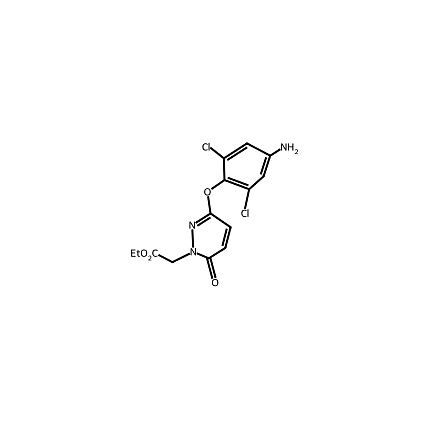 CCOC(=O)Cn1nc(Oc2c(Cl)cc(N)cc2Cl)ccc1=O